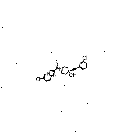 O=C(c1cn2cc(Cl)ccc2n1)N1CCC(O)(C#Cc2cccc(Cl)c2)CC1